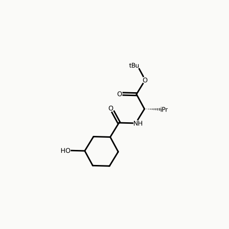 CC(C)[C@H](NC(=O)C1CCCC(O)C1)C(=O)OC(C)(C)C